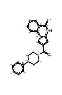 O=C(c1cc2[nH]c(=O)c3ccccc3n2c1)N1CCN(c2ccccc2)CC1